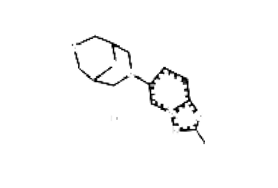 Cl.Clc1nc2ccc(N3CC4CNCC(C3)O4)cn2n1